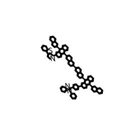 c1ccc(-n2c(-c3ccc(-c4ccc5c(-c6ccc7ccccc7c6)c6ccccc6c(-c6ccc7cc(-c8ccc9cc(-c%10c%11ccccc%11c(-c%11ccc%12ccccc%12c%11)c%11cc(-c%12nccc%13c%12sc%12ccccc%12%13)ccc%10%11)ccc9c8)ccc7c6)c5c4)cc3)nc3ccccc32)cc1